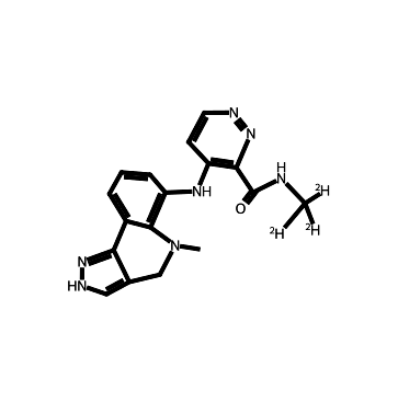 [2H]C([2H])([2H])NC(=O)c1nnccc1Nc1cccc2c1N(C)Cc1c[nH]nc1-2